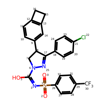 O=S(=O)(/N=C(/O)N1CC(c2ccc3c(c2)CC3)C(c2ccc(Cl)cc2)=N1)c1ccc(C(F)(F)F)cc1